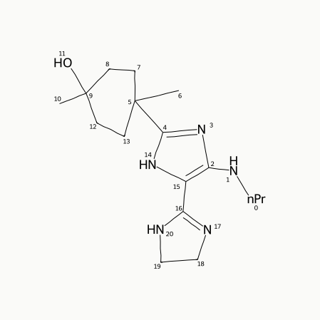 CCCNc1nc(C2(C)CCC(C)(O)CC2)[nH]c1C1=NCCN1